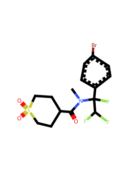 CN(C(=O)C1CCS(=O)(=O)CC1)C(F)(c1ccc(Br)cc1)C(F)F